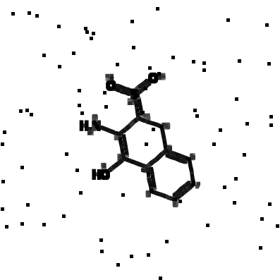 NC1=C(O)c2ccccc2CC1=S(=O)=O